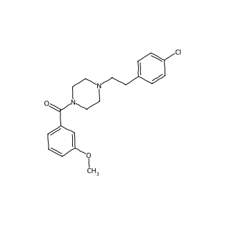 COc1cccc(C(=O)N2CCN(CCc3ccc(Cl)cc3)CC2)c1